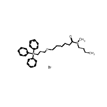 CCCCN(C)C(=O)CCCCCOCCC[P+](c1ccccc1)(c1ccccc1)c1ccccc1.[Br-]